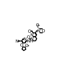 CO[C@@H]1CCC[C@H]1Oc1cc(NC(=O)N2CCCc3cc(CN4CCOCC4=C=O)c(C=O)nc32)ncc1C#N